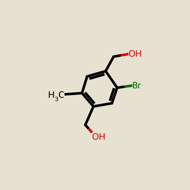 Cc1cc(CO)c(Br)cc1CO